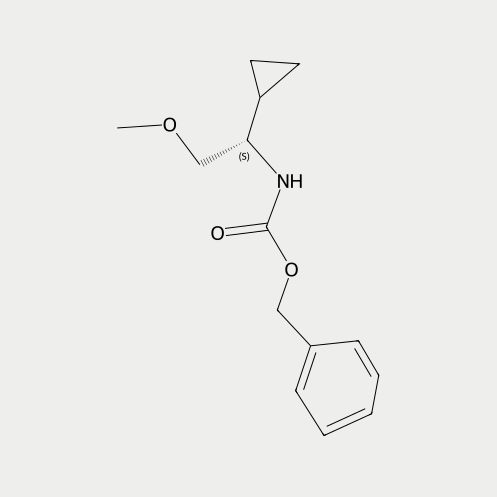 COC[C@@H](NC(=O)OCc1ccccc1)C1CC1